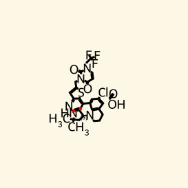 CC1(C)C[C@H](N2CCCc3cc(Cl)cc(-c4ccnc5cc(Cn6c(=O)ccn(CC(F)(F)F)c6=O)sc45)c32)CN1.O=CO